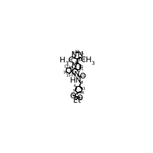 CCS(=O)(=O)c1ccc(CNC(=O)N2CC3(CCCC3)c3nc(-c4c(C)ncnc4C)ccc32)cc1